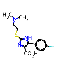 CN(C)CCSc1nc(C(=O)O)c(-c2ccc(F)cc2)[nH]1